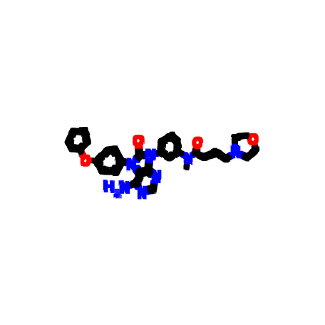 CN(C(=O)/C=C/CN1CCOCC1)c1cccc(-n2c(=O)n(-c3ccc(Oc4ccccc4)cc3)c3c(N)ncnc32)c1